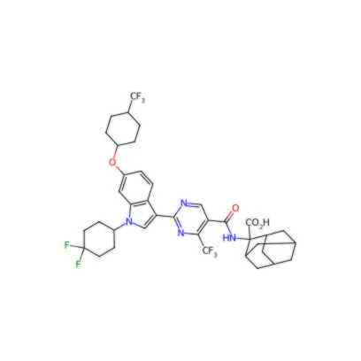 O=C(NC1(C(=O)O)C2CC3CC(C2)CC1C3)c1cnc(-c2cn(C3CCC(F)(F)CC3)c3cc(OC4CCC(C(F)(F)F)CC4)ccc23)nc1C(F)(F)F